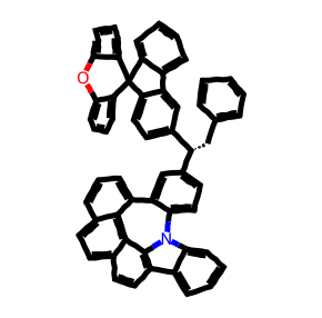 c1ccc(C[C@@H](c2ccc3c(c2)-c2ccccc2C32c3ccccc3Oc3ccccc32)c2ccc3c(c2)c2cccc4ccc5ccc6c7ccccc7n3c6c5c42)cc1